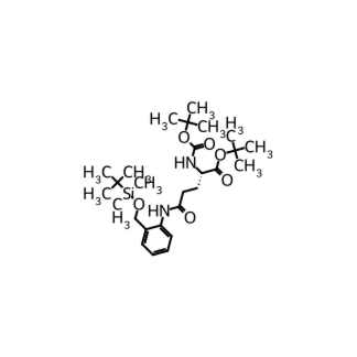 CC(C)(C)OC(=O)N[C@@H](CCC(=O)Nc1ccccc1CO[Si](C)(C)C(C)(C)C)C(=O)OC(C)(C)C